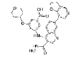 O=C(O)c1cc(Nc2c(C(=O)NO)cnc3cc(-c4cncc5c4OCC5)ccc23)cc(OC2CCOCC2)c1